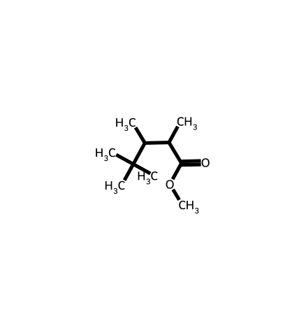 COC(=O)C(C)C(C)C(C)(C)C